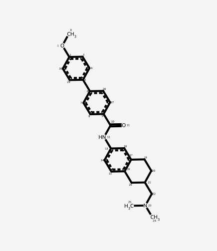 COc1ccc(-c2ccc(C(=O)Nc3ccc4c(c3)CCC(CN(C)C)C4)cc2)cc1